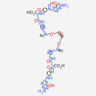 CC(=O)N(CCOCCC[Si](C)(C)O[Si](C)(C)CCCOCCN(CCn1cc(CNC(=O)CC[C@H](NC(=O)c2ccc(NCc3cnc4nc(N)nc(O)c4n3)cc2)C(=O)O)nn1)C(C)=O)CCn1cc(CNC(=O)CC[C@H](NC(=O)c2ccc(NCc3cnc4nc(N)nc(O)c4n3)cc2)C(=O)O)nn1